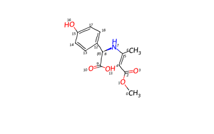 COC(=O)C=C(C)N[C@@H](C(=O)O)c1ccc(O)cc1